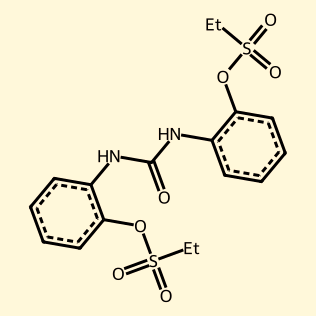 CCS(=O)(=O)Oc1ccccc1NC(=O)Nc1ccccc1OS(=O)(=O)CC